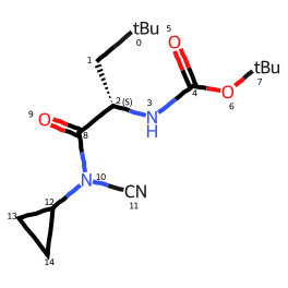 CC(C)(C)C[C@H](NC(=O)OC(C)(C)C)C(=O)N(C#N)C1CC1